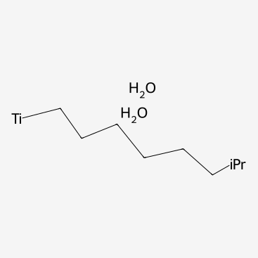 CC(C)CCCCC[CH2][Ti].O.O